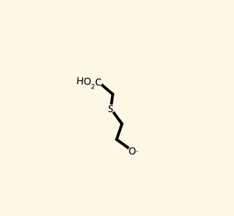 [O]CCSCC(=O)O